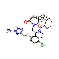 CC(C)n1cc(COc2ccc(Br)c3c2[C@@H](CN2C[C@@H](C)CC2=O)N(C(=O)C2CCCC[C@H]2C(=O)O)CC3)nn1